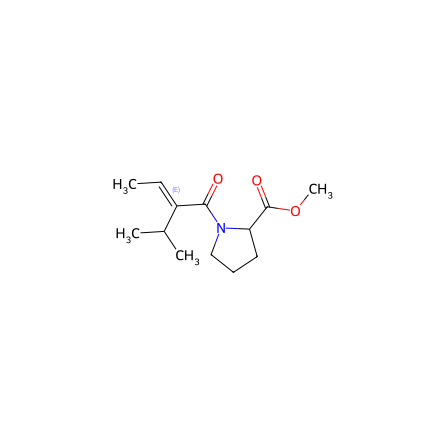 C/C=C(/C(=O)N1CCCC1C(=O)OC)C(C)C